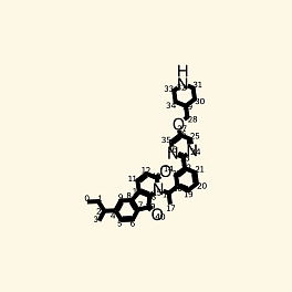 CCC(C)c1ccc2c(c1)-c1ccc(=O)n(C(C)c3cccc(-c4ncc(OCC5CCNCC5)cn4)c3)c1C2=O